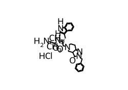 CC(C)(N)C(=O)N[C@H](Cc1c[nH]c2ccccc12)C(=O)N1CCC2=NN(Cc3ccccc3)C(=O)C2C1.Cl